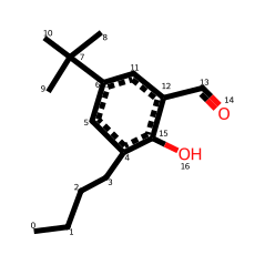 CCCCc1cc(C(C)(C)C)cc(C=O)c1O